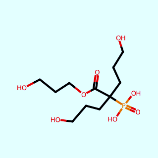 O=C(OCCCO)C(CCCO)(CCCO)P(=O)(O)O